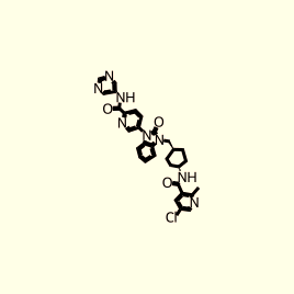 Cc1ncc(Cl)cc1C(=O)N[C@H]1CC[C@H](Cn2c(=O)n(-c3ccc(C(=O)Nc4cncnc4)nc3)c3ccccc32)CC1